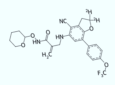 [2H]C1([2H])Cc2c(C#N)c(NCC(=C)C(=O)NOC3CCCCO3)cc(-c3ccc(OC(F)(F)F)cc3)c2O1